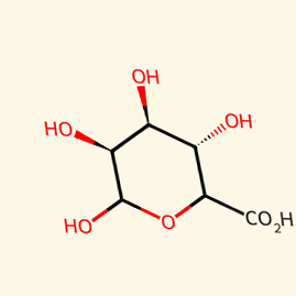 O=C(O)C1OC(O)[C@@H](O)[C@@H](O)[C@@H]1O